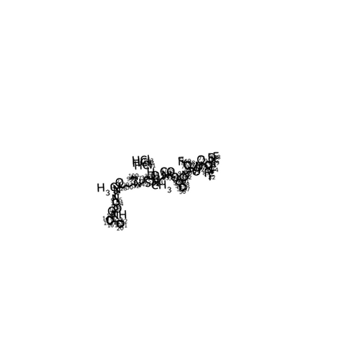 CN(CCN1CCC(OC(=O)Nc2ccccc2-c2ccccc2)CC1)C(=O)CCCCCN(Cc1ccc(C(=O)N(C)CCCN(C)C(=O)CO[C@H]2Cc3ccccc3C23CCN(CC[C@]2(c4ccc(F)cc4)CN(C(=O)c4cc(C(F)(F)F)cc(C(F)(F)F)c4)CO2)CC3)s1)CC1CC1.Cl.Cl.Cl